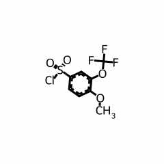 COc1ccc(S(=O)(=O)Cl)cc1OC(F)(F)F